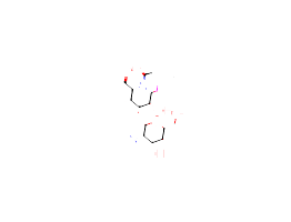 CC(=O)N[C@H](C=O)[C@@H](O)[C@H](O[C@@H]1O[C@H](CO)[C@@H](O)[C@H](O)[C@@H]1N)[C@H](O)CO